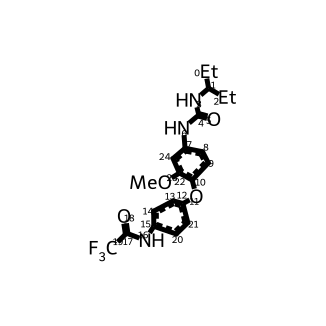 CCC(CC)NC(=O)Nc1ccc(Oc2ccc(NC(=O)C(F)(F)F)cc2)c(OC)c1